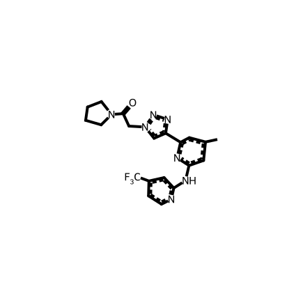 Cc1cc(Nc2cc(C(F)(F)F)ccn2)nc(-c2cn(CC(=O)N3CCCC3)nn2)c1